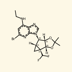 CCNc1cc(Br)nc2c1ncn2[C@H]1[C@@H]2OC(C)(C)O[C@@H]2[C@]2(C(F)F)C[C@H]12